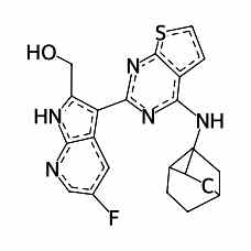 OCc1[nH]c2ncc(F)cc2c1-c1nc(NC2CC3CCC2CC3)c2ccsc2n1